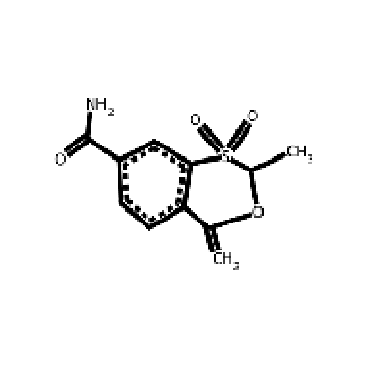 C=C1OC(C)S(=O)(=O)c2cc(C(N)=O)ccc21